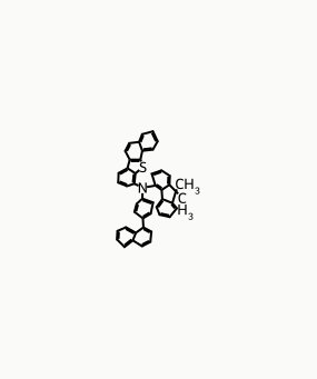 CC1(C)c2ccccc2-c2c(N(c3ccc(-c4cccc5ccccc45)cc3)c3cccc4c3sc3c5ccccc5ccc43)cccc21